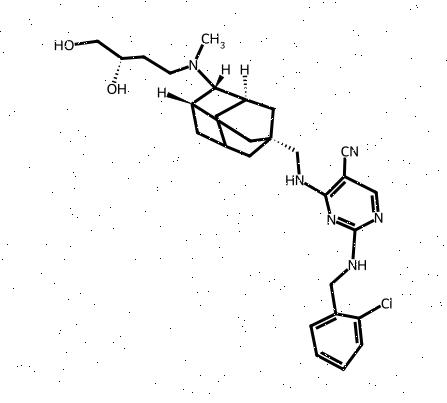 CN(CC[C@H](O)CO)[C@@H]1[C@@H]2CC3C[C@H]1C[C@](CNc1nc(NCc4ccccc4Cl)ncc1C#N)(C3)C2